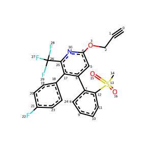 C#CCOc1cc(-c2ccccc2S(C)(=O)=O)c(-c2ccc(F)cc2)c(C(F)(F)F)n1